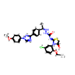 CCC(NNC(=O)/N=C1\SCC(=O)N1c1cc(Cl)ccc1OCC(F)(F)F)c1ccc(-c2ncn(-c3ccc(OC(F)(F)F)cc3)n2)cc1